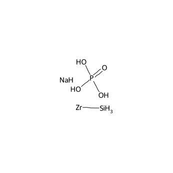 O=P(O)(O)O.[NaH].[SiH3][Zr]